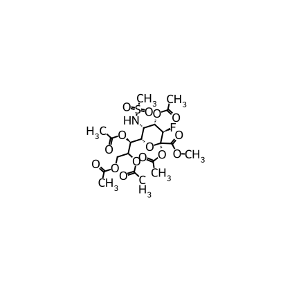 COC(=O)[C@@]1(OC(C)=O)O[C@H]([C@H](OC(C)=O)C(COC(C)=O)OC(C)=O)[C@H](NS(C)(=O)=O)[C@H](OC(C)=O)[C@H]1F